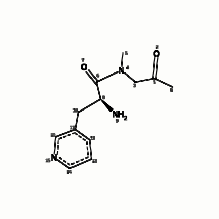 CC(=O)CN(C)C(=O)[C@@H](N)Cc1cccnc1